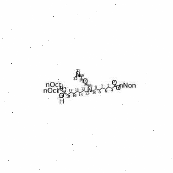 CCCCCCCCCOC(=O)CCCCCCCN(CCCCCCCC(O)OC(CCCCCCCC)CCCCCCCC)CCOCCN(C)C